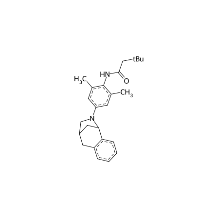 Cc1cc(N2CC3Cc4ccccc4C2C3)cc(C)c1NC(=O)CC(C)(C)C